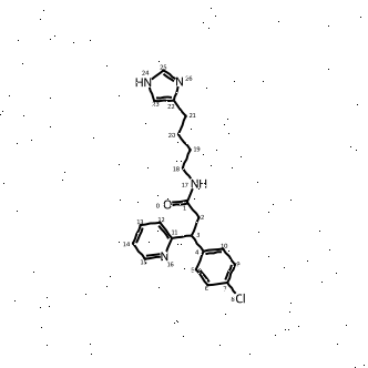 O=C(CC(c1ccc(Cl)cc1)c1ccccn1)NCCCCc1c[nH]cn1